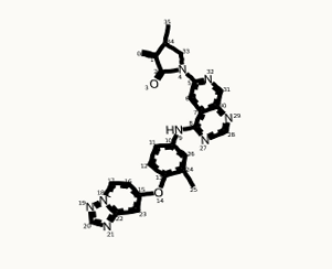 C=C1C(=O)N(c2cc3c(Nc4ccc(Oc5ccn6ncnc6c5)c(C)c4)ncnc3cn2)CC1C